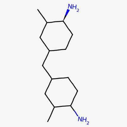 CC1CC(CC2CC[C@H](N)C(C)C2)CCC1N